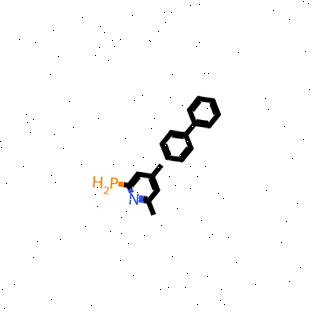 Cc1cc(C)nc(P)c1.c1ccc(-c2ccccc2)cc1